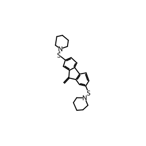 C=C1c2cc(SN3CCCCC3)ccc2-c2ccc(SN3CCCCC3)cc21